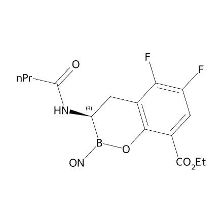 CCCC(=O)N[C@H]1Cc2c(F)c(F)cc(C(=O)OCC)c2OB1N=O